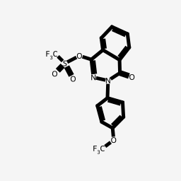 O=c1c2ccccc2c(OS(=O)(=O)C(F)(F)F)nn1-c1ccc(OC(F)(F)F)cc1